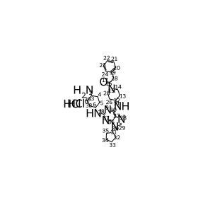 Cl.Cl.N[C@H]1CC[C@H](Nc2nc(NC3CCN(C(=O)Cc4ccccc4)CC3)c3ncn(C4CCCC4)c3n2)CC1